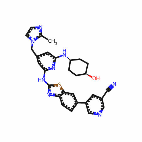 Cc1nccn1Cc1cc(Nc2nc3ccc(-c4cncc(C#N)c4)cc3s2)nc(N[C@H]2CC[C@H](O)CC2)c1